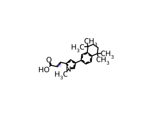 Cn1cc(-c2ccc3c(c2)C(C)(C)CCC3(C)C)cc1/C=C/C(=O)O